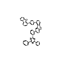 c1ccc(-c2nc(-c3ccccc3)nc(-c3cccc(-c4ccc5oc6cccc(-c7ccc(-c8cccc9c8oc8ccccc89)cc7)c6c5c4)c3)n2)cc1